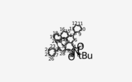 CC(C)(C)n1c(=O)c2c3cc(-c4ccccc4)c4ccc5ccc6c(-c7ccccc7)cc(c2c1=O)c1c6c5c4c31